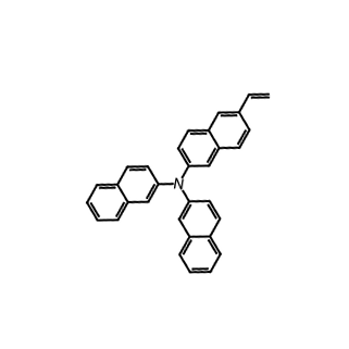 C=Cc1ccc2cc(N(c3ccc4ccccc4c3)c3ccc4ccccc4c3)ccc2c1